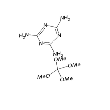 COC(OC)(OC)OC.Nc1nc(N)nc(N)n1